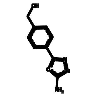 Nc1nnc(-c2ccc(CO)cc2)o1